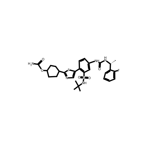 C[C@@H](NC(=O)Nc1ccc(-c2cnc(C3CCC(OC(N)=O)CC3)s2)c(S(=O)(=O)NC(C)(C)C)c1)c1ccccc1F